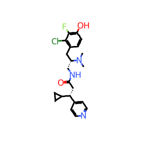 CN(C)[C@H](CNC(=O)C[C@H](c1ccncc1)C1CC1)Cc1ccc(O)c(F)c1Cl